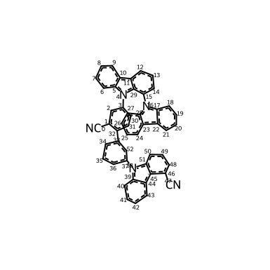 N#Cc1cc(-n2c3ccccc3c3cccc(-n4c5ccccc5c5ccccc54)c32)ccc1-c1cccc(-n2c3ccccc3c3c(C#N)cccc32)c1